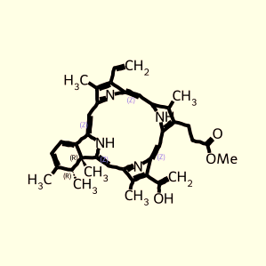 C=CC1=C(C)C2=NC/1=C\C1NC(=C(CCC(=O)OC)C1C)/C=C1N=C(/C=C3\N/C(=C\2)C2=CC=C(C)[C@@H](C)[C@]23C)C(C)=C\1C(=C)O